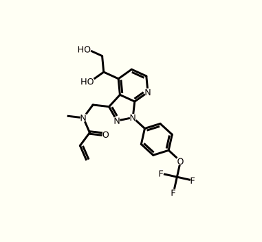 C=CC(=O)N(C)Cc1nn(-c2ccc(OC(F)(F)F)cc2)c2nccc(C(O)CO)c12